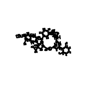 Cc1cccc(C)c1-c1cc2nc(n1)NS(=O)(=O)c1cccc(c1)C(=O)N(Cc1cnc3cc(C(C)(C)C)n(C)c3n1)[C@H](CC1(C)CC1)CO2